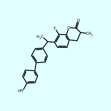 CCCc1ccc(-c2ccc(C(C)c3ccc4c(c3F)OC(=O)C(C)C4)cc2)cc1